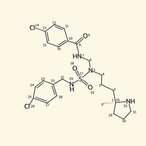 C[C@@]1(CCCN(CNC(=O)c2ccc(Cl)cc2)S(=O)(=O)NCc2ccc(Cl)cc2)CCCN1